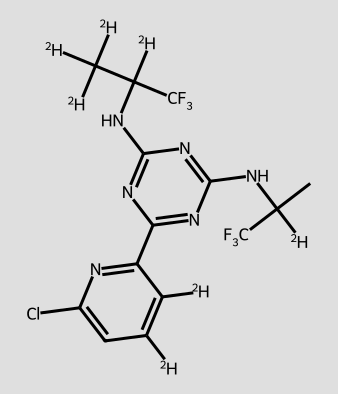 [2H]c1cc(Cl)nc(-c2nc(NC([2H])(C)C(F)(F)F)nc(NC([2H])(C([2H])([2H])[2H])C(F)(F)F)n2)c1[2H]